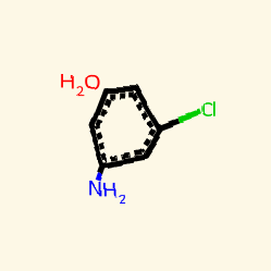 Nc1cccc(Cl)c1.O